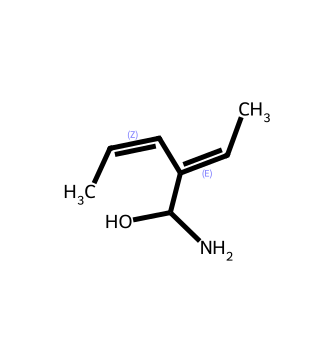 C/C=C\C(=C/C)C(N)O